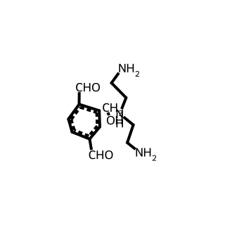 CO.NCCNCCN.O=Cc1ccc(C=O)cc1